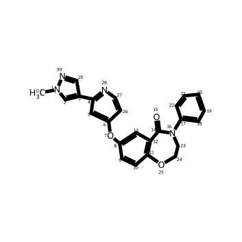 Cn1cc(-c2cc(Oc3ccc4c(c3)C(=O)N(c3ccccc3)CCO4)ccn2)cn1